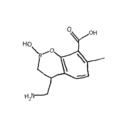 Cc1ccc2c(c1C(=O)O)OB(O)CC2CN